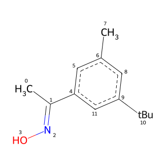 CC(=NO)c1cc(C)cc(C(C)(C)C)c1